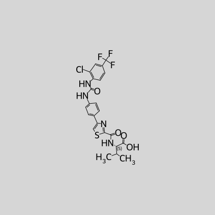 CC(C)[C@H](NC(=O)c1nc(-c2ccc(NC(=O)Nc3ccc(C(F)(F)F)cc3Cl)cc2)cs1)C(=O)O